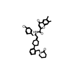 Cc1cc2oc(C(=O)N[C@H](C=C3CCC(c4ccccc4CN4CCCCC4=O)CC3)Cc3ccc(Cl)cc3)cc(=O)c2cc1C